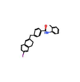 Cc1ccccc1NC(=O)c1ccc(CC2=Cc3ccc(I)cc3CC2)cc1